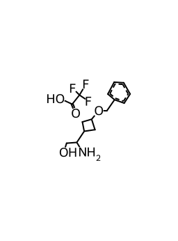 NC(CO)C1CC(OCc2ccccc2)C1.O=C(O)C(F)(F)F